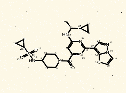 C[C@H](Nc1cc(C(=O)N2CCC(NS(=O)(=O)C3CC3)CC2)nc(-c2cnn3ccsc23)n1)C1CC1